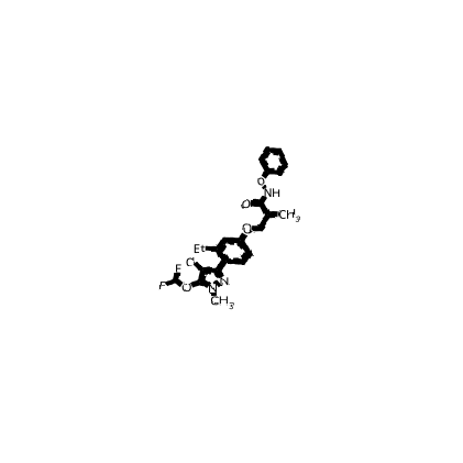 CCc1cc(OCC(C)C(=O)NOc2ccccc2)ccc1-c1nn(C)c(OC(F)F)c1Cl